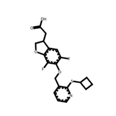 O=C(O)CC1COc2c1cc(F)c(OCc1cccnc1SC1CCC1)c2F